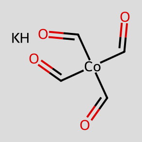 O=[CH][Co]([CH]=O)([CH]=O)[CH]=O.[KH]